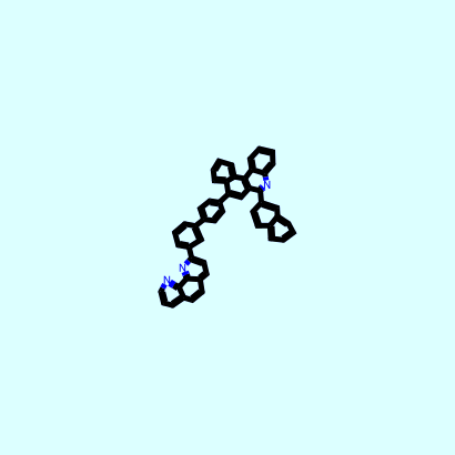 c1cc(-c2ccc(-c3cc4c(-c5ccc6ccccc6c5)nc5ccccc5c4c4ccccc34)cc2)cc(-c2ccc3ccc4cccnc4c3n2)c1